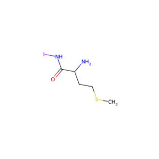 CSCCC(N)C(=O)NI